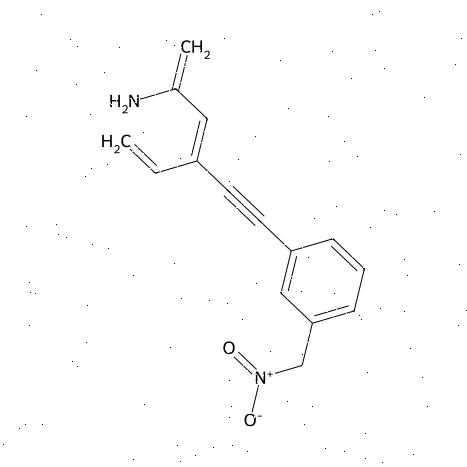 C=C/C(C#Cc1cccc(C[N+](=O)[O-])c1)=C\C(=C)N